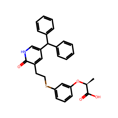 C[C@H](Oc1cccc(SCCc2cc(C(c3ccccc3)c3ccccc3)c[nH]c2=O)c1)C(=O)O